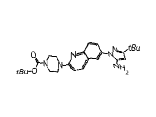 CC(C)(C)OC(=O)N1CCN(c2ccc3cc(-n4nc(C(C)(C)C)cc4N)ccc3n2)CC1